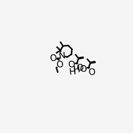 C=C(C)C(=O)O.C=C(C)C(=O)O.CCOC(=O)N1CCCCC(C)C1(C)C